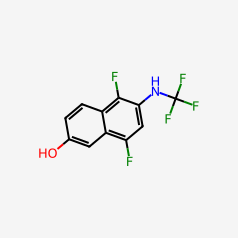 Oc1ccc2c(F)c(NC(F)(F)F)cc(F)c2c1